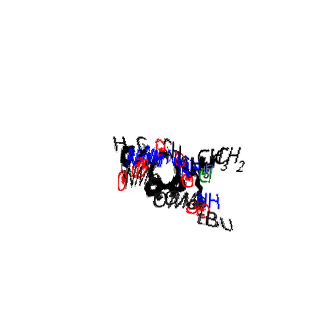 C=C/C=C(/Cl)C(C)N[C@@H](CCCCNC(=O)OC(C)(C)C)C(=O)N(C)[C@@H]1C(=O)N[C@@H](C)C(=O)N[C@H](C(=O)N[C@@H](C)C(=O)N2CCC[C@H]2C(=O)NC)Cc2ccc(OC)c(c2)-c2cc1ccc2OC